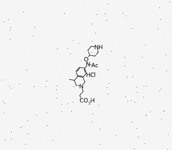 CC(=O)N(OC1CCNCC1)c1ccc2c(c1)CN(CCC(=O)O)CC2C.Cl